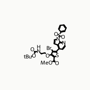 COC(=O)c1sc(-c2ccnc3c2ccn3S(=O)(=O)c2ccccc2)c(Br)c1OCCNC(=O)OC(C)(C)C